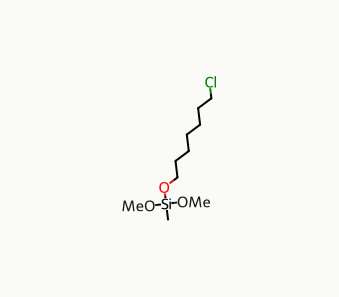 CO[Si](C)(OC)OCCCCCCCCl